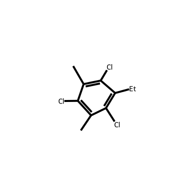 CCc1c(Cl)c(C)c(Cl)c(C)c1Cl